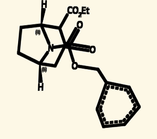 CCOC(=O)C1C(=O)C[C@@H]2CC[C@H]1N2C(=O)OCc1ccccc1